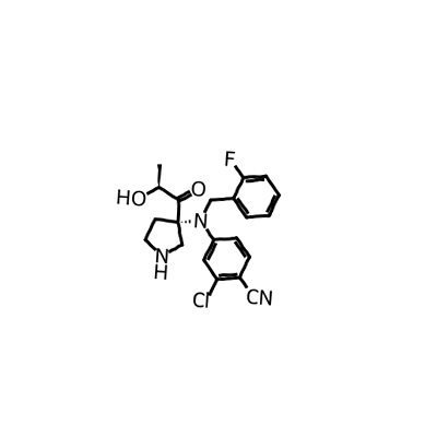 C[C@H](O)C(=O)[C@]1(N(Cc2ccccc2F)c2ccc(C#N)c(Cl)c2)CCNC1